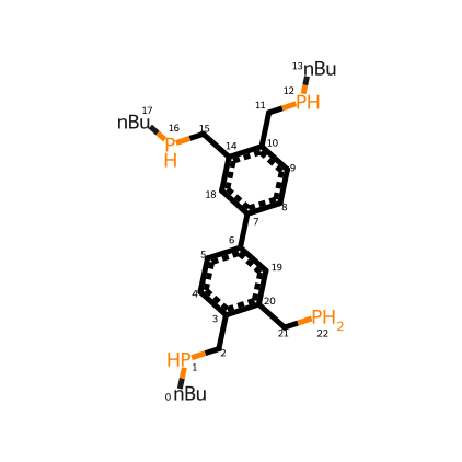 CCCCPCc1ccc(-c2ccc(CPCCCC)c(CPCCCC)c2)cc1CP